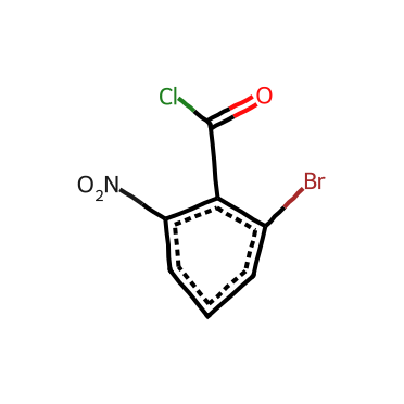 O=C(Cl)c1c(Br)cccc1[N+](=O)[O-]